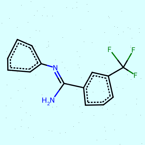 NC(=Nc1ccccc1)c1cccc(C(F)(F)F)c1